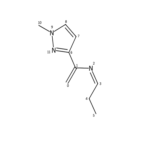 C=C(/N=C\CC)c1ccn(C)n1